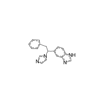 c1ccc(CC(c2ccc3[nH]cnc3c2)n2ccnc2)cc1